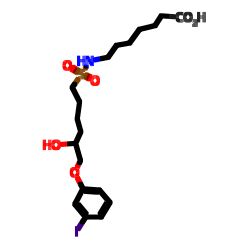 O=C(O)CCCCCCNS(=O)(=O)CCCCC(O)COc1cccc(I)c1